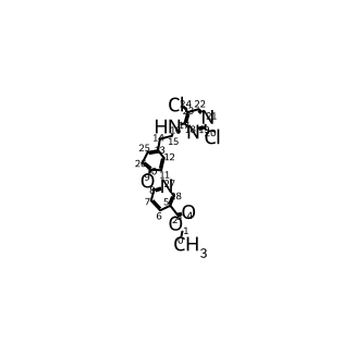 CCOC(=O)c1ccc(Oc2ccc(CCNc3nc(Cl)ncc3Cl)cc2)nc1